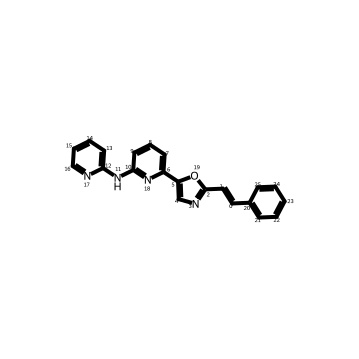 C(=C\c1ncc(-c2cccc(Nc3ccccn3)n2)o1)/c1ccccc1